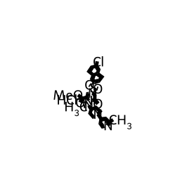 COC(=O)C1CN(S(=O)(=O)c2ccc3cc(Cl)ccc3c2)CC(=O)N1N(C)C1CCN(c2ccnc(C)c2)CC1.Cl